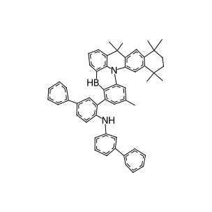 Cc1cc(-c2cc(-c3ccccc3)ccc2Nc2cccc(-c3ccccc3)c2)c2c(c1)N1c3cc4c(cc3C(C)(C)c3cccc(c31)B2)C(C)(C)CCC4(C)C